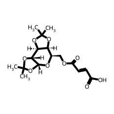 CC1(C)O[C@H]2[C@@H](O1)[C@@H](COC(=O)/C=C/C(=O)O)O[C@@H]1OC(C)(C)O[C@@H]12